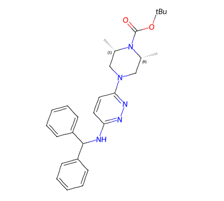 C[C@@H]1CN(c2ccc(NC(c3ccccc3)c3ccccc3)nn2)C[C@H](C)N1C(=O)OC(C)(C)C